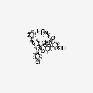 CC(c1cccc(-c2ccccc2NC(=O)CCN)c1)N(C(=O)Cc1ccc(Cl)cc1)C1CCN(Cc2ccccc2)CC1.Cl.Cl